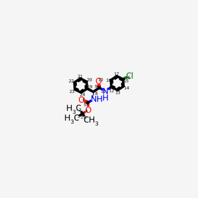 CC(C)(C)OC(=O)N[C@@H](C(=O)Nc1ccc(Cl)cc1)c1ccccc1